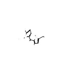 Cc1cc(CC(=O)O)n(C)c1C(=O)c1ccc(Cl)n1C